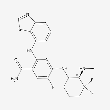 CN[C@@H]1C(Nc2nc(Nc3cccc4ncsc34)c(C(N)=O)cc2F)CCCC1(F)F